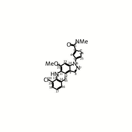 CNC(=O)c1cc(-n2ncc3cc(Nc4c(F)cccc4Cl)c(OC)cc32)cs1